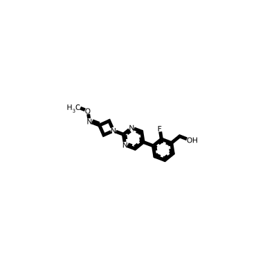 CON=C1CN(c2ncc(-c3cccc(CO)c3F)cn2)C1